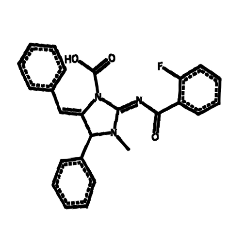 CN1C(=NC(=O)c2ccccc2F)N(C(=O)O)C(=Cc2ccccc2)C1c1ccccc1